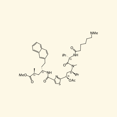 CNCCCCCC(=O)N[C@H](C(=O)N(C)[C@H](C[C@@H](OC(C)=O)c1nc(C(=O)N[C@@H](CCc2ccc3ccccc3c2)C[C@H](C)C(=O)OC)cs1)C(C)C)C(C)C